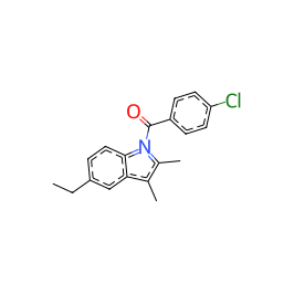 CCc1ccc2c(c1)c(C)c(C)n2C(=O)c1ccc(Cl)cc1